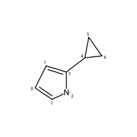 C1=C[N]C(C2CC2)=C1